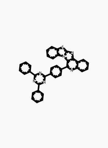 c1ccc(-c2nc(-c3ccccc3)nc(-c3ccc(-c4nc5ccccc5c5nc6sc7ccccc7n6c45)cc3)n2)cc1